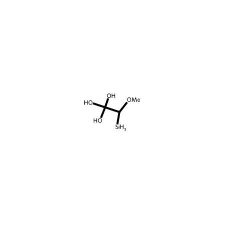 COC([SiH3])C(O)(O)O